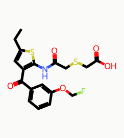 CCc1cc(C(=O)c2cccc(OCF)c2)c(NC(=O)CSCC(=O)O)s1